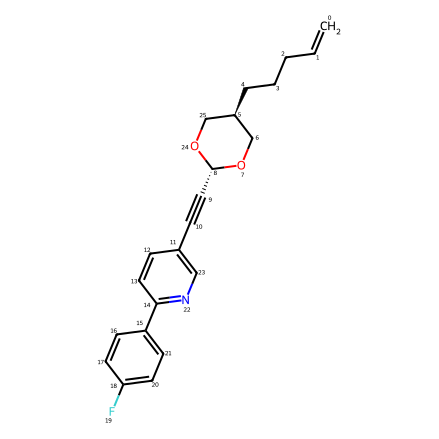 C=CCCC[C@H]1CO[C@H](C#Cc2ccc(-c3ccc(F)cc3)nc2)OC1